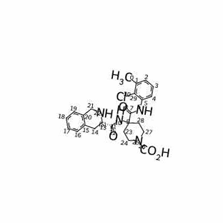 Cc1cccc(NC(=O)C2(NC(=O)[C@@H]3Cc4ccccc4CN3)CCN(C(=O)O)CC2)c1Cl